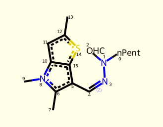 CCCCCN(C=O)/N=C\c1c(C)n(C)c2cc(C)sc12